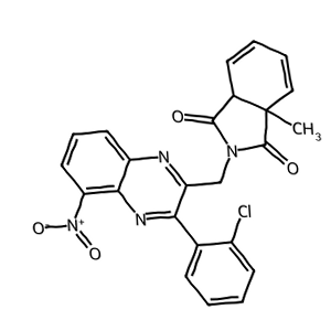 CC12C=CC=CC1C(=O)N(Cc1nc3cccc([N+](=O)[O-])c3nc1-c1ccccc1Cl)C2=O